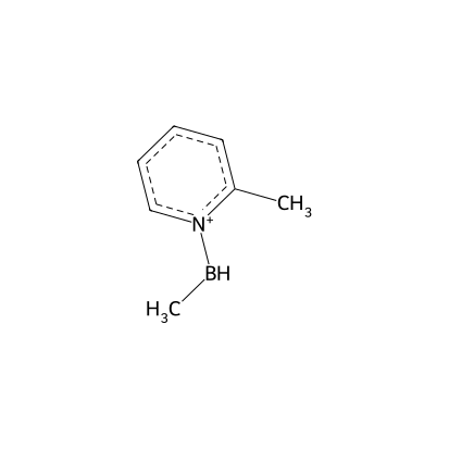 CB[n+]1ccccc1C